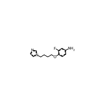 Nc1ccc(OCCCCn2ccnc2)c(F)c1